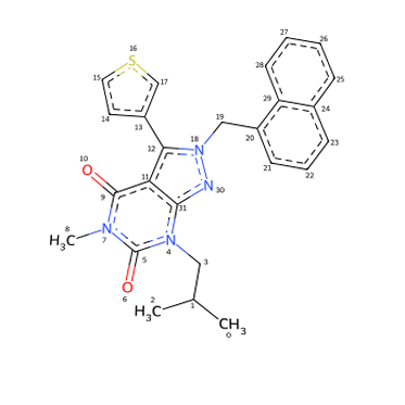 CC(C)Cn1c(=O)n(C)c(=O)c2c(-c3ccsc3)n(Cc3cccc4ccccc34)nc21